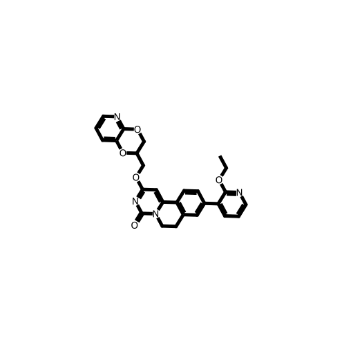 CCOc1ncccc1-c1ccc2c(c1)CCn1c-2cc(OCC2COc3ncccc3O2)nc1=O